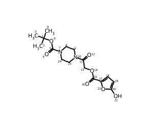 CC(C)(C)OC(=O)N1CCN(C(=O)COC(=O)c2ccc(O)o2)CC1